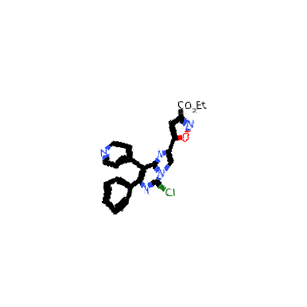 CCOC(=O)c1cc(-c2cn3c(Cl)nc(-c4ccccc4)c(-c4ccncc4)c3n2)on1